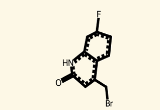 O=c1cc(CBr)c2ccc(F)cc2[nH]1